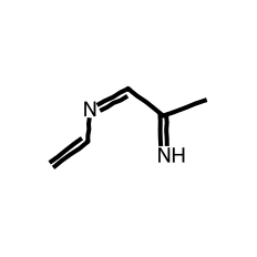 C=C/N=C\C(C)=N